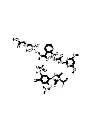 COc1cc(OC)nc(NC(=O)NS(=O)(=O)c2ncccc2C(=O)N(C)C)n1.C[S+](C)C.Cc1nn(-c2cc(NS(C)(=O)=O)c(Cl)cc2Cl)c(=O)n1C(F)F.O=C(O)CNCP(=O)([O-])O